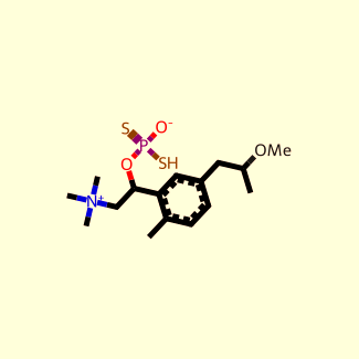 COC(C)Cc1ccc(C)c(C(C[N+](C)(C)C)OP([O-])(=S)S)c1